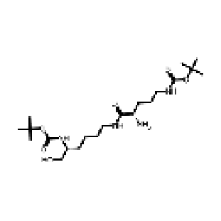 CC(C)(C)OC(=O)NCCC[C@H](N)C(=O)NCCCC[C@@H](CO)NC(=O)OC(C)(C)C